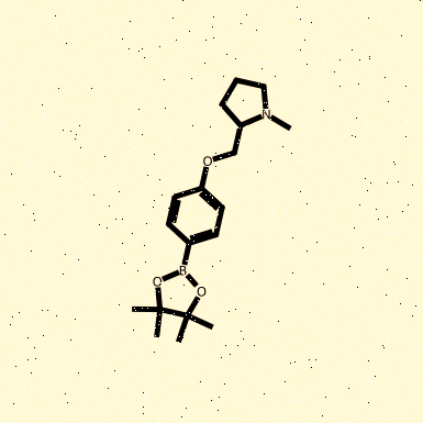 CN1CCCC1COc1ccc(B2OC(C)(C)C(C)(C)O2)cc1